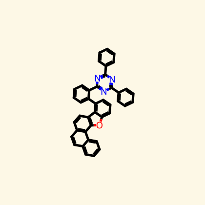 c1ccc(-c2nc(-c3ccccc3)nc(-c3ccccc3-c3cccc4oc5c(ccc6ccc7ccccc7c65)c34)n2)cc1